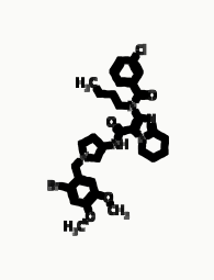 CCCCN(C(=O)c1cccc(Cl)c1)c1nc2n(c1C(=O)NC1CCN(Cc3cc(OC)c(OC)cc3Br)C1)CCCC2